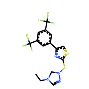 CCN1C=NN(Sc2nc(-c3cc(C(F)(F)F)cc(C(F)(F)F)c3)cs2)C1